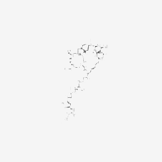 N=C(/N=C(\N)Nc1ccc(CC2CN(CC(=O)O)CCN(CC(=O)O)CCN(CC(=O)O)CCN2CC(=O)O)cc1)N1CCN(CCCCCCCCCCC(=O)NCCCC[C@H](NC(=O)N[C@H](C=O)CCC(=O)O)C(=O)O)CC1